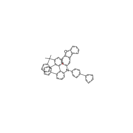 CC1(C)c2ccccc2-c2c(-c3c(-c4ccccc4)cccc3N(c3ccc(-c4ccccc4)cc3)c3ccc4oc5ccccc5c4c3)cccc21